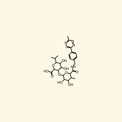 Cc1nnc(-c2ccc(CNC(=O)C3OC(OC4C(C(=O)O)OC(C(C)C)C(O)C4O)C(O)C(O)C3C)cc2)nn1